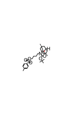 Cc1ccc(S(=O)(=O)OCCCCN(C(=O)OC(C)(C)C)C23C[C@@H]4C[C@@](C)(C2)C[C@](C)(C4)C3)cc1